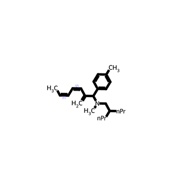 C=C(/C=C\C=C/C)C(c1ccc(C)cc1)N(C)CC(CCC)CCC